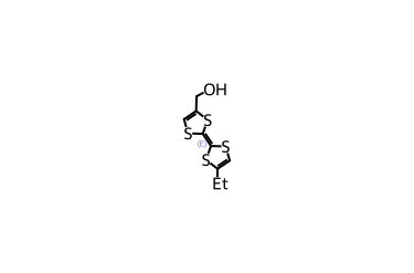 CCC1=CS/C(=C2/SC=C(CO)S2)S1